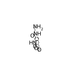 COC(=O)CC1Cc2ccc(C(=O)NCCCN)cc2NC1=O